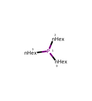 CCCCCCP(CCCCCC)CCCCCC